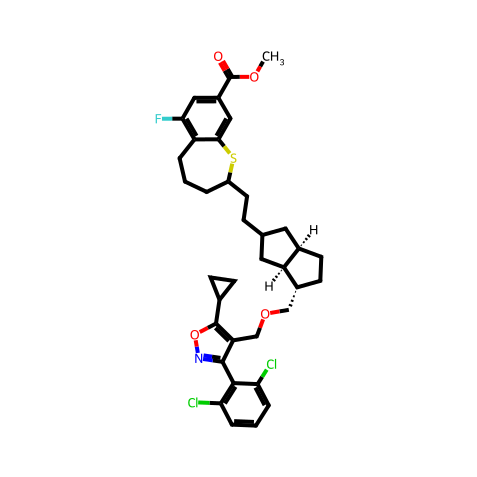 COC(=O)c1cc(F)c2c(c1)SC(CCC1C[C@H]3CC[C@H](COCc4c(-c5c(Cl)cccc5Cl)noc4C4CC4)[C@H]3C1)CCC2